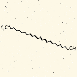 CCCCCCCC=CC=C/C=[C]/C=CC=CCCCCCCCCC